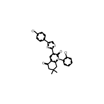 CC1(C)CC(=O)c2cc(-c3nc(-c4ccc(Cl)cc4)cs3)c(=O)n(-c3ccccc3Cl)c2C1